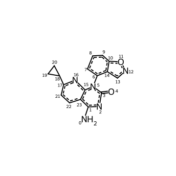 Nc1nc(=O)n(-c2cccc3oncc23)c2nc(C3CC3)ccc12